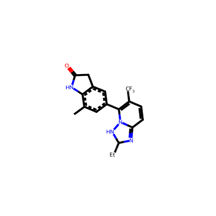 CCC1N=C2C=CC(C(F)(F)F)=C(c3cc(C)c4c(c3)CC(=O)N4)N2N1